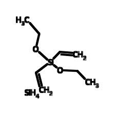 C=C[Si](C=C)(OCC)OCC.[SiH4]